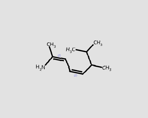 C/C(N)=C/C=C\C(C)C(C)C